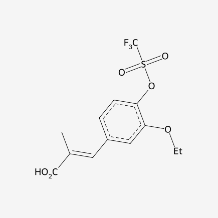 CCOc1cc(/C=C(\C)C(=O)O)ccc1OS(=O)(=O)C(F)(F)F